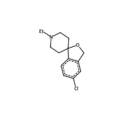 CCN1CCC2(CC1)OCc1cc(Cl)ccc12